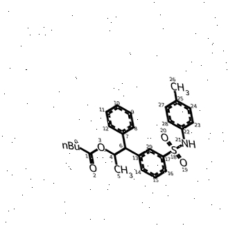 CCCCC(=O)OC(C)C(c1ccccc1)c1cccc(S(=O)(=O)Nc2ccc(C)cc2)c1